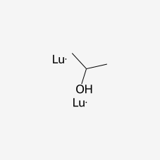 CC(C)O.[Lu].[Lu]